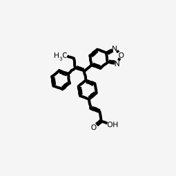 CC/C(=C(/c1ccc(/C=C/C(=O)O)cc1)c1ccc2nonc2c1)c1ccccc1